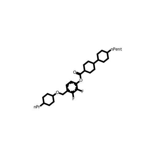 CCCCCC1CCC(C2CCC(C(=O)Oc3ccc(COC4CCC(CCC)CC4)c(F)c3F)CC2)CC1